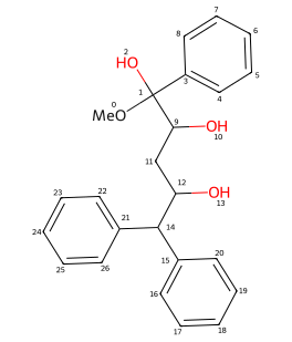 COC(O)(c1ccccc1)C(O)CC(O)C(c1ccccc1)c1ccccc1